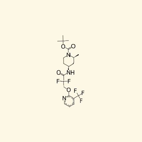 C[C@H]1C[C@@H](NC(=O)C(F)(F)COc2ncccc2C(F)(F)F)CCN1C(=O)OC(C)(C)C